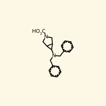 O=C(O)N1CC2C(C1)C2N(Cc1ccccc1)Cc1ccccc1